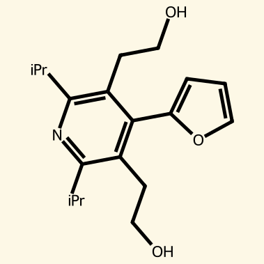 CC(C)c1nc(C(C)C)c(CCO)c(-c2ccco2)c1CCO